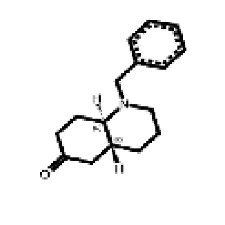 O=C1CC[C@@H]2[C@H](CCCN2Cc2ccccc2)C1